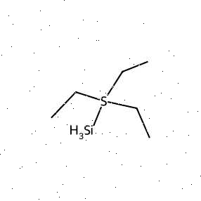 CCS([SiH3])(CC)CC